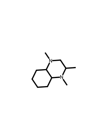 CC1CN(C)C2CCCCC2N1C